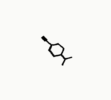 C#CC1CCC(C(C)C)CC1